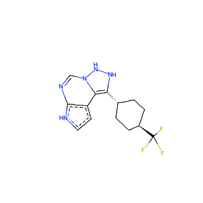 FC(F)(F)[C@H]1CC[C@H](C2=C3c4cc[nH]c4N=CN3NN2)CC1